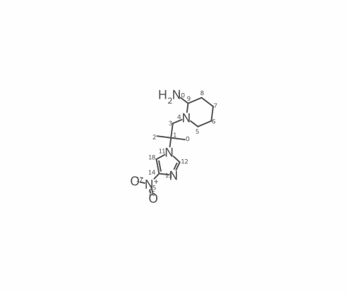 CC(C)(CN1CCCCC1N)n1cnc([N+](=O)[O-])c1